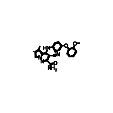 COc1ccccc1Oc1ccc(Nc2c(C#N)c(C(N)=O)nn3c[c]c(C)c23)cc1